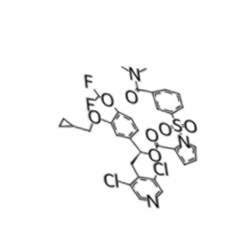 CN(C)C(=O)c1cccc(S(=O)(=O)n2cccc2C(=O)O[C@@H](Cc2c(Cl)cncc2Cl)c2ccc(OC(F)F)c(OCC3CC3)c2)c1